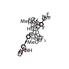 COC(=O)NC(C(=O)N[C@@H](Cc1ccc(C#Cc2ccc(N3CC4CCC(C3)N4CC3CNC3)nc2)cc1)[C@@H](O)CN(Cc1c(F)cc(-c2cnn(C(F)F)c2)cc1F)NC(=O)[C@@H](NC(=O)OC)C(C)(C)C(F)(F)F)C(C)(C)C(F)(F)F